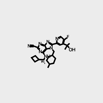 CC1CCC(Cn2c(-c3cc(C(C)(C)O)c(F)cn3)nc3nc(C#N)nc(N[C@H](C)C4CCC4)c32)CC1